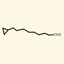 O=CCCCCCCCCC1CC1